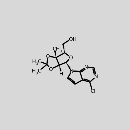 CC1(C)O[C@H]2[C@H](n3ccc4c(Cl)ncnc43)O[C@H](CO)[C@@]2(C)O1